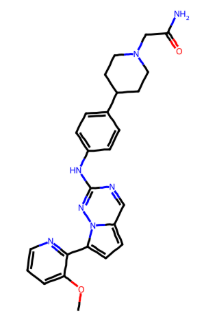 COc1cccnc1-c1ccc2cnc(Nc3ccc(C4CCN(CC(N)=O)CC4)cc3)nn12